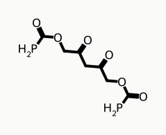 O=C(COC(=O)P)CC(=O)COC(=O)P